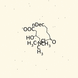 CCCCCCCCCCCCCC(=O)Cl.C[N+](C)(C)CC(O)CC(=O)[O-]